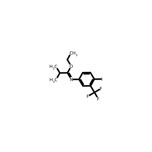 CCO/C(=N\c1ccc(I)c(C(F)(F)F)c1)C(C)C